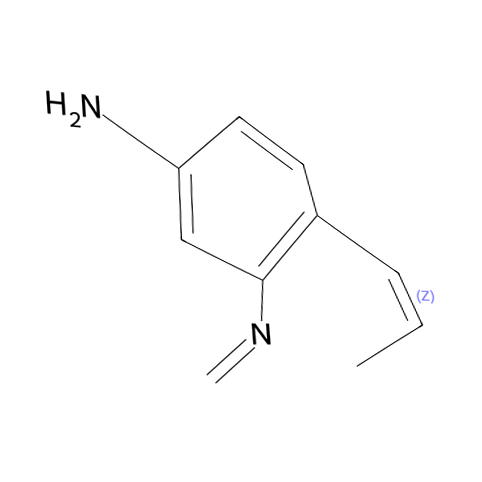 C=Nc1cc(N)ccc1/C=C\C